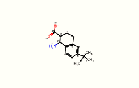 CC(C)(C)c1ccc2c(c1)CCC(C(=O)O)C2N